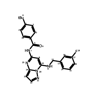 CC(C)(C)c1ccc(C(=O)Nc2cc(NCc3cccc(F)c3)n3nccc3n2)cc1